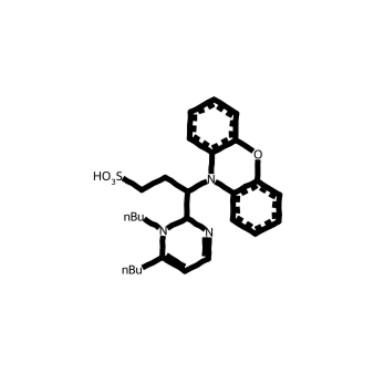 CCCCC1=CC=NC(C(CCS(=O)(=O)O)N2c3ccccc3Oc3ccccc32)N1CCCC